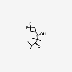 CC(C)C(=O)C(C)(C)[C@@H](O)C1CC(F)(F)C1